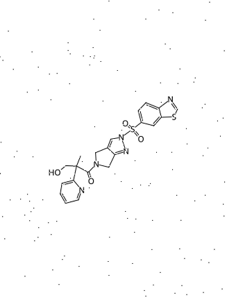 CC(CO)(C(=O)N1Cc2cn(S(=O)(=O)c3ccc4ncsc4c3)nc2C1)c1ccccn1